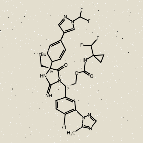 Cc1ncnn1-c1cc([C@@H](COC(=O)NC2(C(F)F)CC2)N2C(=N)N[C@](CC(C)(C)C)(C3C=CC(c4cnn(C(F)F)c4)=CC3)C2=O)ccc1Cl